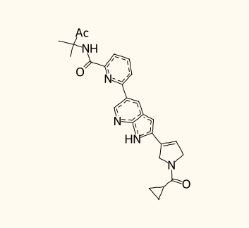 CC(=O)C(C)(C)NC(=O)c1cccc(-c2cnc3[nH]c(C4=CCN(C(=O)C5CC5)C4)cc3c2)n1